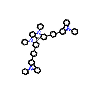 c1ccc(N2c3cc(-c4ccc(-c5ccc6c(c5)c5ccccc5n6-c5ccccc5)cc4)ccc3B3c4ccc(-c5ccc(-c6ccc7c(c6)c6ccccc6n7-c6ccccc6)cc5)cc4N(c4ccccc4)c4cccc2c43)cc1